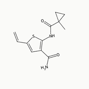 C=Cc1cc(C(N)=O)c(NC(=O)C2(C)CC2)s1